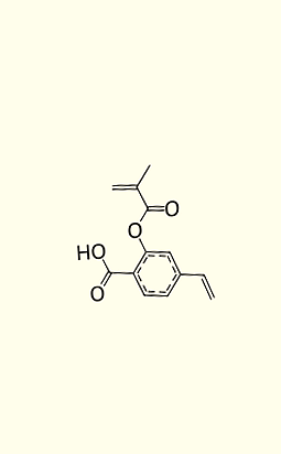 C=Cc1ccc(C(=O)O)c(OC(=O)C(=C)C)c1